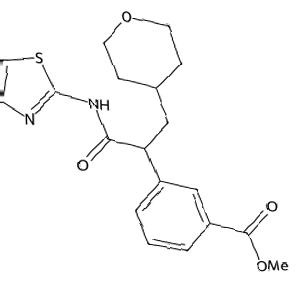 COC(=O)c1cccc(C(CC2CCOCC2)C(=O)Nc2nccs2)c1